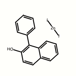 Oc1ccc2ccccc2c1-c1cc[c]cc1.[I][Zn][I]